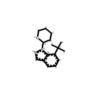 CC(C)(C)c1cccc2cnn(C3CCCCO3)c12